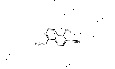 COc1nccc2c(N)c(C#N)cnc12